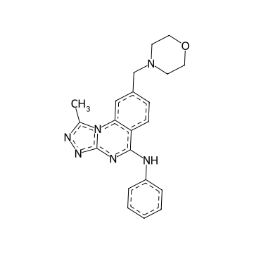 Cc1nnc2nc(Nc3ccccc3)c3ccc(CN4CCOCC4)cc3n12